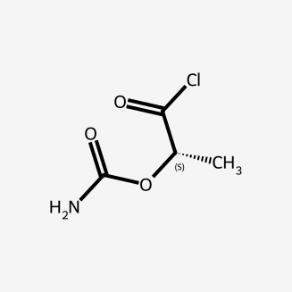 C[C@H](OC(N)=O)C(=O)Cl